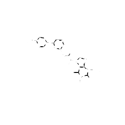 CC(=O)Cn1c(=O)c2c(ncn2C(C)C(=O)Nc2cccc(-c3ccc(C(F)(F)F)nc3)n2)n(C)c1=O